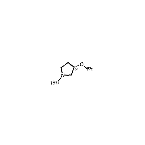 CC(C)O[C@H]1CCN(C(C)(C)C)C1